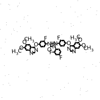 COc1cc2ncnc(Oc3ccc(NC(=O)N(Nc4ccc(Oc5ncnc6cc(OC)c(OC)cc56)cc4F)c4ccc(F)cc4F)c(F)c3)c2cc1OC